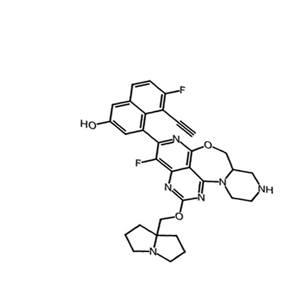 C#Cc1c(F)ccc2cc(O)cc(-c3nc4c5c(nc(OCC67CCCN6CCC7)nc5c3F)N3CCNCC3CO4)c12